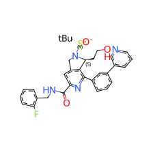 CC(C)(C)[S@+]([O-])N1Cc2cc(C(=O)NCc3ccccc3F)nc(-c3cccc(-c4cccnc4)c3)c2[C@@H]1CCO